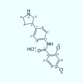 Cl.O=C(Nc1ccc(C2CCNC2)cc1)c1ccc(Cl)cc1Cl